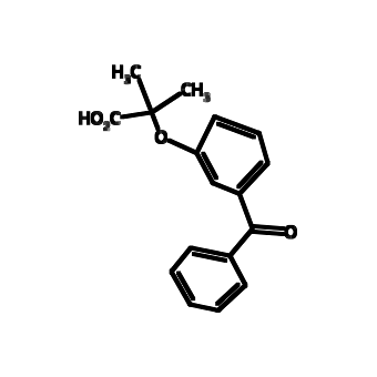 CC(C)(Oc1cccc(C(=O)c2ccccc2)c1)C(=O)O